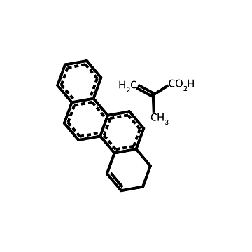 C1=Cc2c(ccc3c2ccc2ccccc23)CC1.C=C(C)C(=O)O